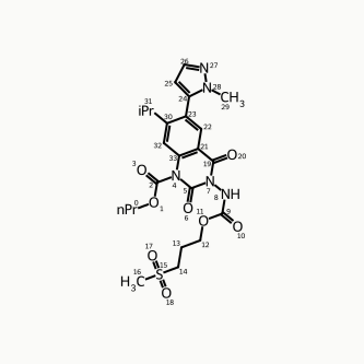 CCCOC(=O)n1c(=O)n(NC(=O)OCCCS(C)(=O)=O)c(=O)c2cc(-c3ccnn3C)c(C(C)C)cc21